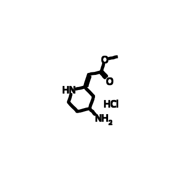 COC(=O)C=C1CC(N)CCN1.Cl